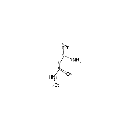 CCCC(N)CC(=O)NCC